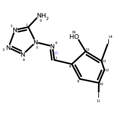 Nc1nnnn1/N=C/c1cc(I)cc(I)c1O